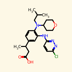 CC(C)CN(c1ccc(C(C)CC(=O)O)cc1Nc1ccc(Cl)nn1)C1CCOCC1